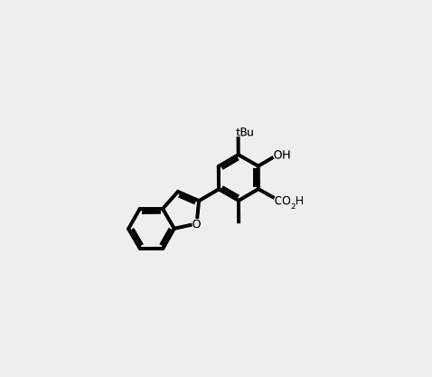 Cc1c(-c2cc3ccccc3o2)cc(C(C)(C)C)c(O)c1C(=O)O